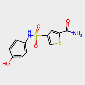 NC(=O)c1cc(S(=O)(=O)Nc2ccc(O)cc2)cs1